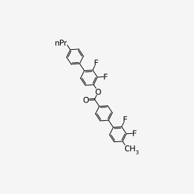 CCCc1ccc(-c2ccc(OC(=O)c3ccc(-c4ccc(C)c(F)c4F)cc3)c(F)c2F)cc1